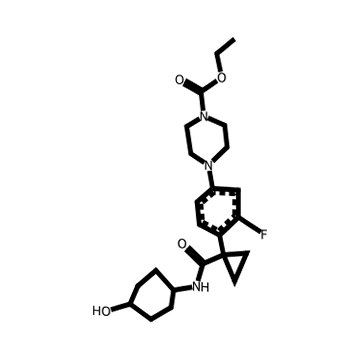 CCOC(=O)N1CCN(c2ccc(C3(C(=O)NC4CCC(O)CC4)CC3)c(F)c2)CC1